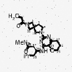 C=CC(=O)N1CC2(CCN(c3nc4c(c(N[C@H](CC(=O)NC)CC(C)C)n3)OCCC4)C2)C1